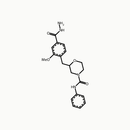 COc1cc(C(=O)NN)ccc1CC1CN(C(=O)Nc2ccccc2)CCO1